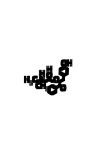 CC(C)NCC(O)COC(Cc1ccc(O)cc1)C(=O)c1ccccc1